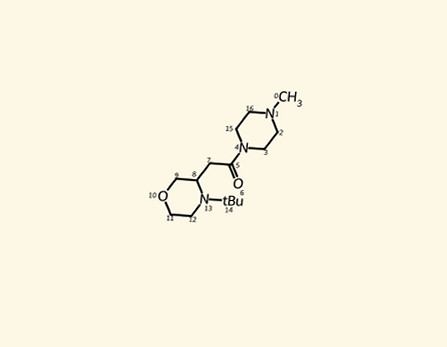 CN1CCN(C(=O)CC2COCCN2C(C)(C)C)CC1